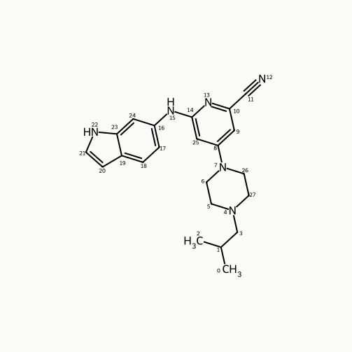 CC(C)CN1CCN(c2cc(C#N)nc(Nc3ccc4cc[nH]c4c3)c2)CC1